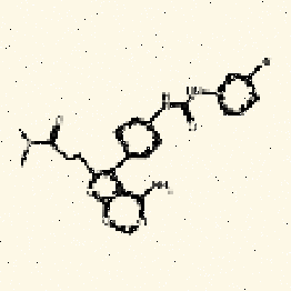 CN(C)C(=O)CCc1sc2ncnc(N)c2c1-c1ccc(NC(=O)Nc2cccc(Br)c2)cc1